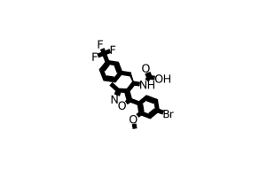 COc1cc(Br)ccc1-c1onc(C)c1[C@@H](Cc1cccc(C(F)(F)F)c1)NC(=O)O